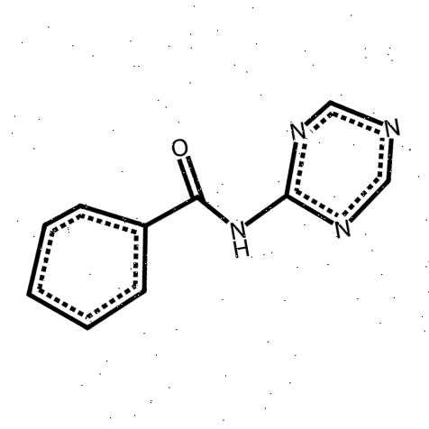 O=C(Nc1ncncn1)c1ccccc1